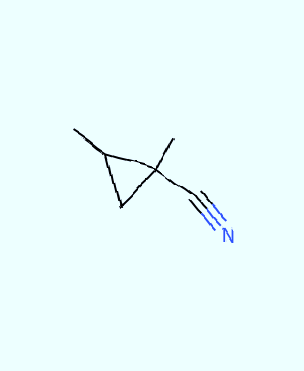 CC1CC1(C)C#N